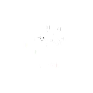 CC(CCC(=O)O)(O[Si](C)(C)C(C)(C)C)C(F)(F)F